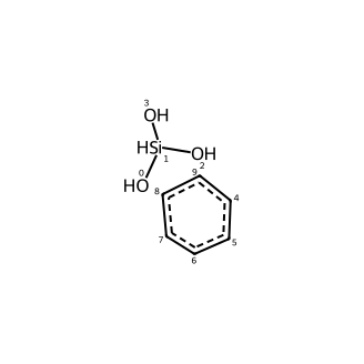 O[SiH](O)O.c1ccccc1